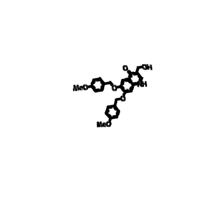 COc1ccc(COc2cc3[nH]cc(CO)c(=O)c3cc2OCc2ccc(OC)cc2)cc1